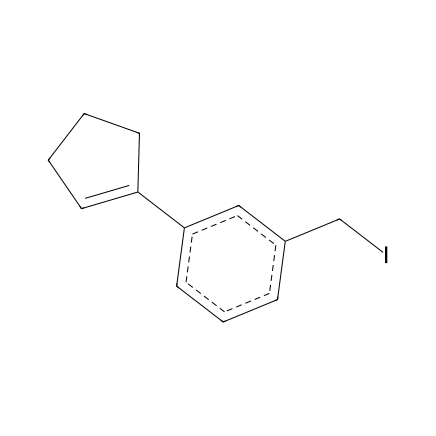 ICc1cccc(C2=CCCC2)c1